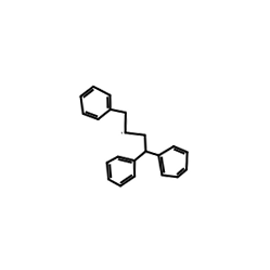 [CH](Cc1ccccc1)CC(c1ccccc1)c1ccccc1